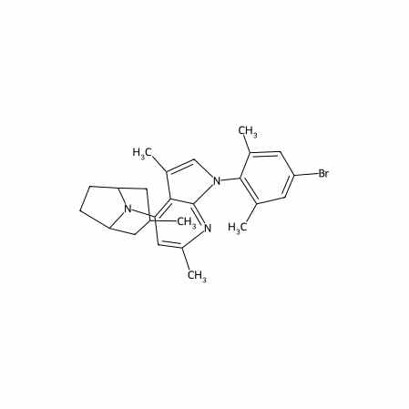 Cc1cc(N2C3CCC2CC(C)C3)c2c(C)cn(-c3c(C)cc(Br)cc3C)c2n1